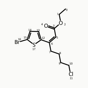 CCOC(=O)/C=C(/CCCCCl)c1ccc(Br)s1